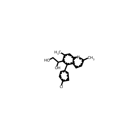 Cc1ccc2c(-c3ccc(Cl)cc3)c(C(O)CO)c(C)cc2n1